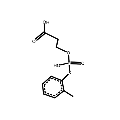 Cc1ccccc1SP(=O)(O)OCCC(=O)O